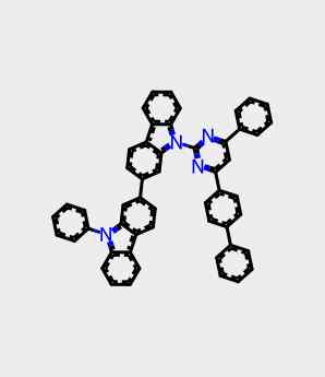 c1ccc(-c2ccc(-c3cc(-c4ccccc4)nc(-n4c5ccccc5c5ccc(-c6ccc7c8ccccc8n(-c8ccccc8)c7c6)cc54)n3)cc2)cc1